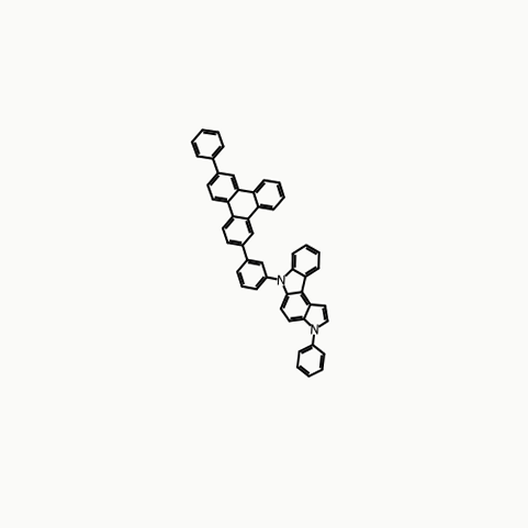 c1ccc(-c2ccc3c4ccc(-c5cccc(-n6c7ccccc7c7c8ccn(-c9ccccc9)c8ccc76)c5)cc4c4ccccc4c3c2)cc1